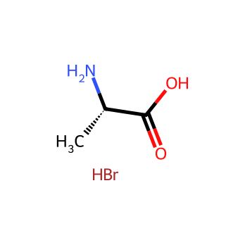 Br.C[C@H](N)C(=O)O